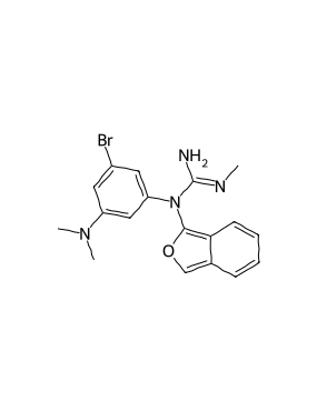 CN=C(N)N(c1cc(Br)cc(N(C)C)c1)c1occ2ccccc12